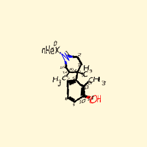 CCCCCCN1CC[C@](C)(c2cccc(O)c2C)[C@@H](C)C1